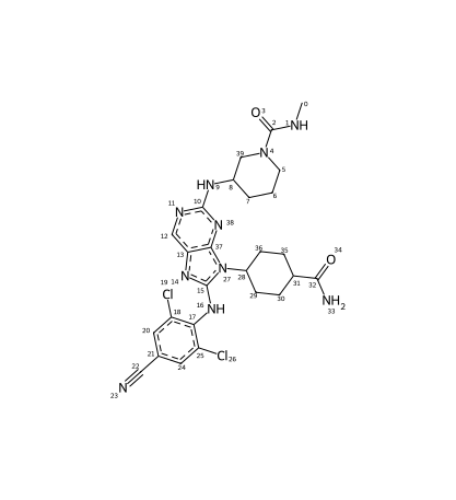 CNC(=O)N1CCCC(Nc2ncc3nc(Nc4c(Cl)cc(C#N)cc4Cl)n(C4CCC(C(N)=O)CC4)c3n2)C1